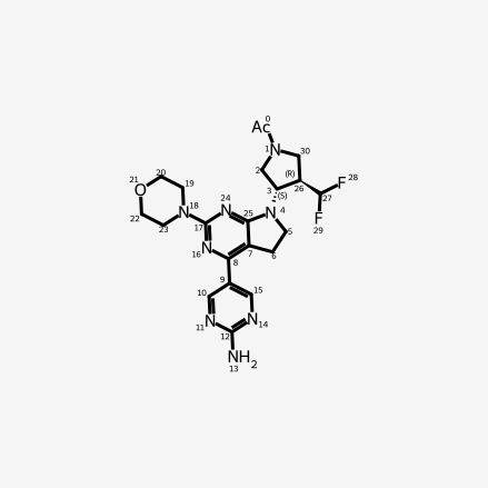 CC(=O)N1C[C@@H](N2CCc3c(-c4cnc(N)nc4)nc(N4CCOCC4)nc32)[C@H](C(F)F)C1